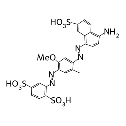 COc1cc(N=Nc2ccc(N)c3ccc(S(=O)(=O)O)cc23)c(C)cc1N=Nc1cc(S(=O)(=O)O)ccc1S(=O)(=O)O